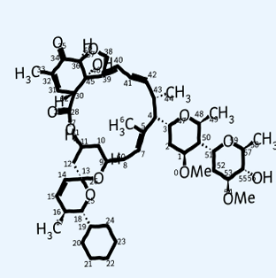 CO[C@H]1C[C@H](C2/C(C)=C/C[C@@H]3C[C@@H](C[C@]4(C=C[C@H](C)[C@@H](C5CCCCC5)O4)O3)OC(=O)[C@@H]3C=C(C)C(=O)[C@H]4OC/C(=C\C=C\[C@@H]2C)[C@]43O)O[C@@H](C)C1[C@H]1C[C@H](OC)[C@@H](O)[C@H](C)O1